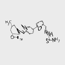 CC1CC(C)CN(c2ccc(-c3ccc(C=NNC(N)=S)o3)cn2)C1